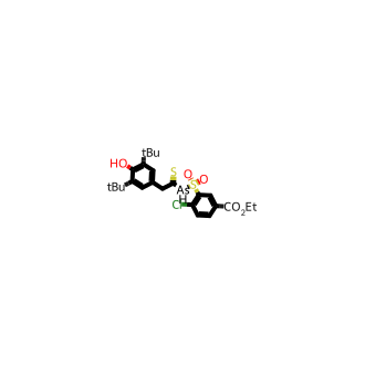 CCOC(=O)c1ccc(Cl)c(S(=O)(=O)[AsH]C(=S)Cc2cc(C(C)(C)C)c(O)c(C(C)(C)C)c2)c1